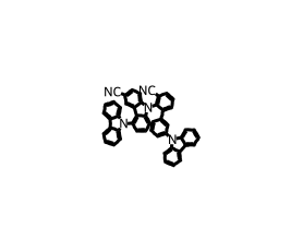 N#Cc1ccc2c(c1)c1c(-n3c4ccccc4c4ccccc43)cccc1n2-c1c(C#N)cccc1-c1cccc(-n2c3ccccc3c3ccccc32)c1